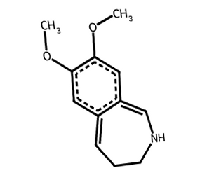 COc1cc2c(cc1OC)=CNCCC=2